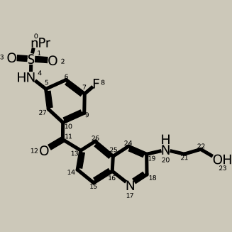 CCCS(=O)(=O)Nc1cc(F)cc(C(=O)c2ccc3ncc(NCCO)cc3c2)c1